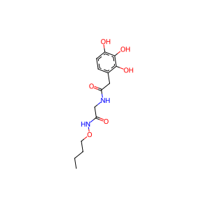 CCCCONC(=O)CNC(=O)Cc1ccc(O)c(O)c1O